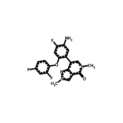 Cn1cc2c(=O)n(C)cc(-c3cc(N)c(F)cc3Oc3ccc(F)cc3F)c2n1